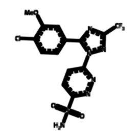 COc1cc(-c2nc(C(F)(F)F)nn2-c2ccc(S(N)(=O)=O)nn2)ccc1Cl